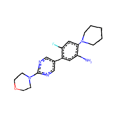 Nc1cc(-c2cnc(N3CCOCC3)nc2)c(F)cc1N1CC[CH]CC1